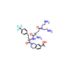 CB(O)c1ccc2c(c1)CN(C(=O)[C@@H](CCc1ccc(C(F)(F)F)cc1)NC(=O)[C@@H](N)CCC(=O)N(CCN)CCN)CC2